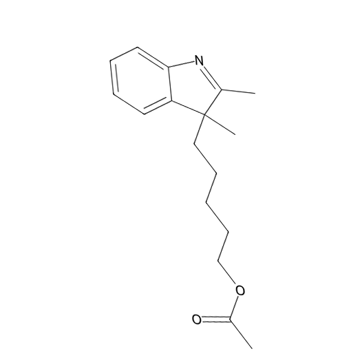 CC(=O)OCCCCCC1(C)C(C)=Nc2ccccc21